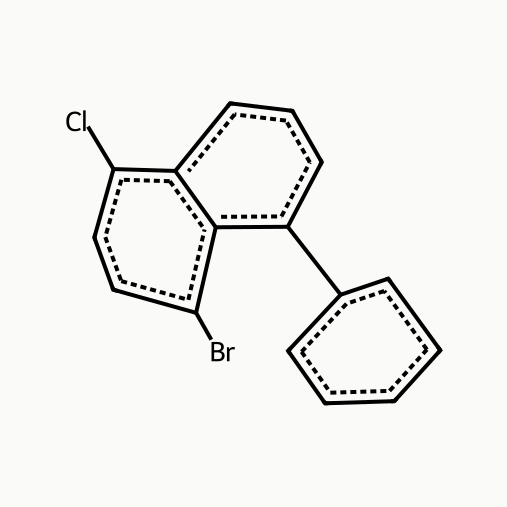 Clc1ccc(Br)c2c(-c3ccccc3)cccc12